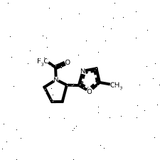 Cc1cnc(C2CCCN2C(=O)C(F)(F)F)o1